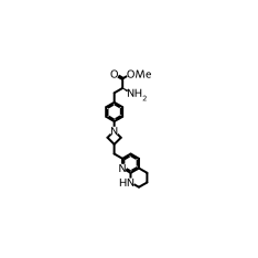 COC(=O)[C@@H](N)Cc1ccc(N2CC(Cc3ccc4c(n3)NCCC4)C2)cc1